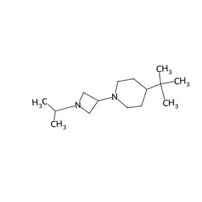 CC(C)N1CC(N2CCC(C(C)(C)C)CC2)C1